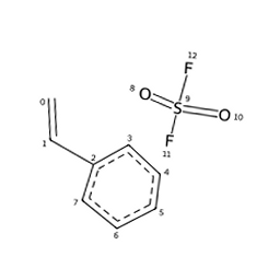 C=Cc1ccccc1.O=S(=O)(F)F